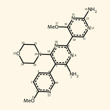 COc1ccc(-c2c(N)nc(-c3cnc(N)nc3OC)nc2N2CCOCC2)cn1